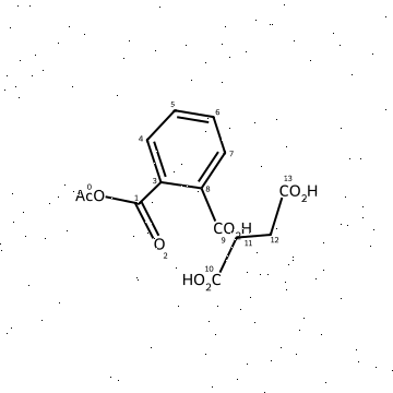 CC(=O)OC(=O)c1ccccc1C(=O)O.O=C(O)CCC(=O)O